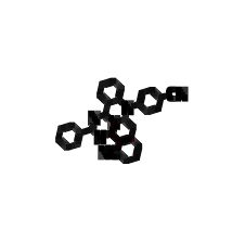 N#Cc1ccc(N(c2ccc(C#N)cc2)c2ccccc2-c2nc(-c3ccccc3)nc(-c3ccccc3)n2)cc1